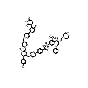 C[C@@]1(CN2CCC(CN3CCC(c4ccc(F)c(N5CCC(=O)NC5=O)c4)CC3)CC2)CCC(c2ccc(Cl)cc2)=C(CN2CCN(c3ccc(C(=O)NS(=O)(=O)c4ccc(N[C@H](CCN5CCCOCC5)CSc5ccccc5)c(S(=O)(=O)C(F)(F)F)c4)cc3)CC2)C1